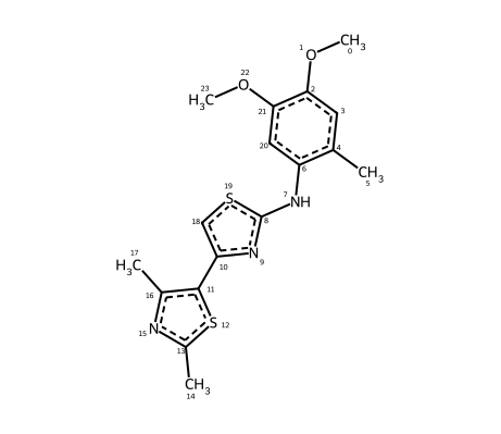 COc1cc(C)c(Nc2nc(-c3sc(C)nc3C)cs2)cc1OC